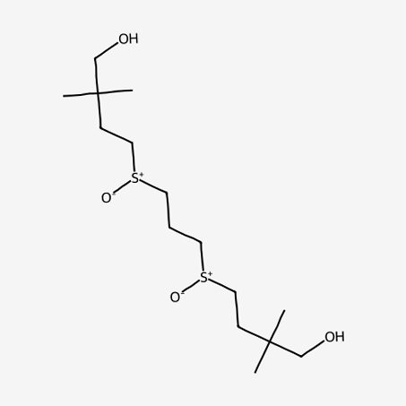 CC(C)(CO)CC[S+]([O-])CCC[S+]([O-])CCC(C)(C)CO